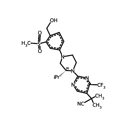 CC(C)[C@@H]1CN(c2ccc(CO)c(S(C)(=O)=O)c2)CCN1c1ncc(C(C)(C)C#N)c(C(F)(F)F)n1